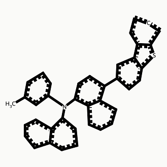 Cc1cccc(N(c2cccc3ccccc23)c2ccc(-c3ccc4sc5ccccc5c4c3)c3ccccc23)c1